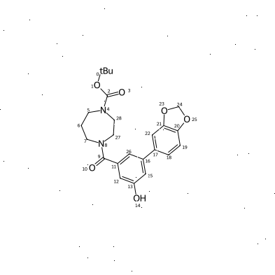 CC(C)(C)OC(=O)N1CCCN(C(=O)c2cc(O)cc(-c3ccc4c(c3)OCO4)c2)CC1